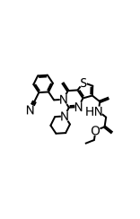 C=C(CNC(=C)c1csc2c1N=C(N1CCCCC1)N(Cc1ccccc1C#N)C2=C)OCC